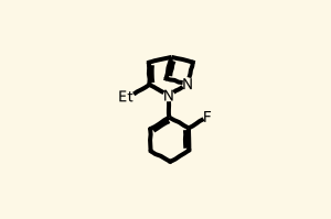 CCC1=CC2=CN(C2)N1C1=CCCC=C1F